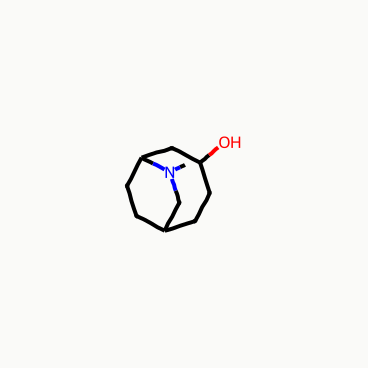 CN1CC2CCC(O)CC1CC2